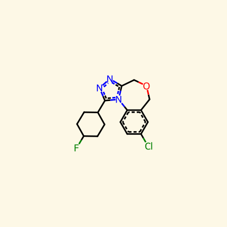 FC1CCC(c2nnc3n2-c2ccc(Cl)cc2COC3)CC1